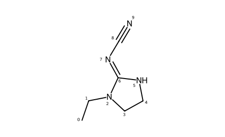 CCN1CCN/C1=N\C#N